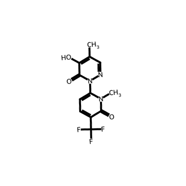 Cc1cnn(-c2ccc(C(F)(F)F)c(=O)n2C)c(=O)c1O